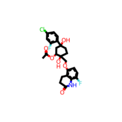 CC(=O)OC1CC(O)(c2ccc(Cl)cc2F)CCC1(O)COc1ccc(F)c2c1CCC(=O)N2